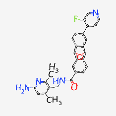 Cc1cc(N)nc(C)c1CNC(=O)c1ccc2c(c1)c1oc2c2cc(-c3ccncc3F)ccc21